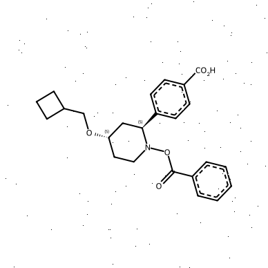 O=C(O)c1ccc([C@@H]2C[C@@H](OCC3CCC3)CCN2OC(=O)c2ccccc2)cc1